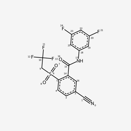 N#Cc1ccc(S(=O)(=O)CC(F)(F)F)c(C(=O)Nc2cc(F)cc(F)c2)c1